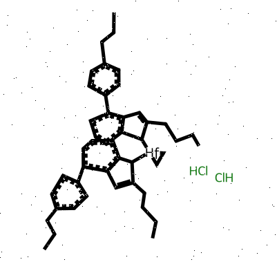 CCCCC1=Cc2c(-c3ccc(CCC)cc3)cccc2[CH]1[Hf]1([CH]2C(CCCC)=Cc3c(-c4ccc(CCC)cc4)cccc32)[CH2][CH2]1.Cl.Cl